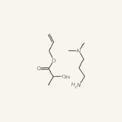 C=CCOC(=O)C(C)O.CN(C)CCCN